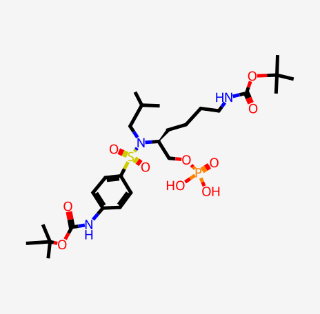 CC(C)CN([C@@H](CCCCNC(=O)OC(C)(C)C)COP(=O)(O)O)S(=O)(=O)c1ccc(NC(=O)OC(C)(C)C)cc1